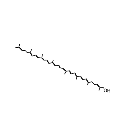 CC(C)=CCC/C(C)=C/C=C/C(C)=C/C=C/C(C)=C/C=C/C=C(C)/C=C/C=C(C)/C=C/C=C(\C)CC/C=C(\C)CO